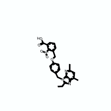 CCc1nc2c(C)cc(C)nc2n1Cc1ccc(OCc2cccc(C(=O)O)c2[N+](=O)[O-])cc1